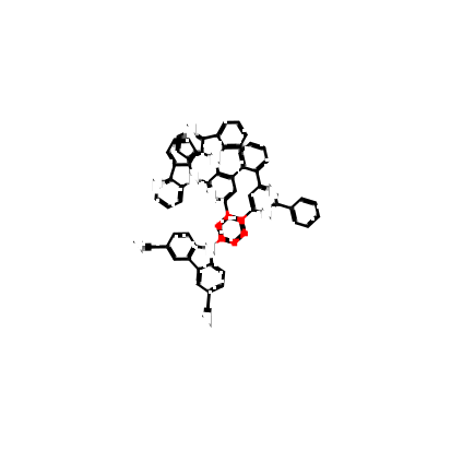 N#Cc1ccc2c(c1)c1cc(C#N)ccc1n2-c1cccc(-c2cc(-c3ccccc3-c3cc(-c4ccccc4)nc(-c4ccccc4)n3)c(-n3c4ccccc4c4ncccc43)c(-n3c4ccccc4c4ncccc43)n2)c1